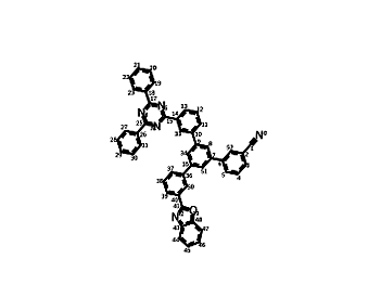 N#Cc1cccc(-c2cc(-c3cccc(-c4nc(-c5ccccc5)nc(-c5ccccc5)n4)c3)cc(-c3cccc(-c4nc5ccccc5o4)c3)c2)c1